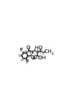 CC[C@@H](O)[C@H](CN1C(=O)c2c(F)ccc(F)c2C1=O)C(=O)O